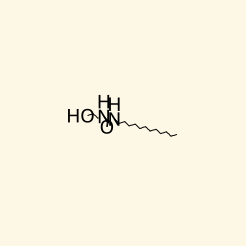 CCCCCCCCCCCCNC(=O)NCCO